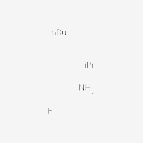 CC(C)N.CCCCCCCF